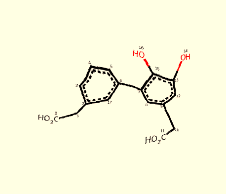 O=C(O)Cc1cccc(-c2cc(CC(=O)O)cc(O)c2O)c1